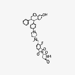 CN(Cc1ccc2c(c1F)C(=O)N(C1CCC(=O)NC1=O)C2=O)C1CCN(c2ccc([C@@H]3c4ccc(O)cc4OC[C@@H]3c3ccccc3)cc2)CC1